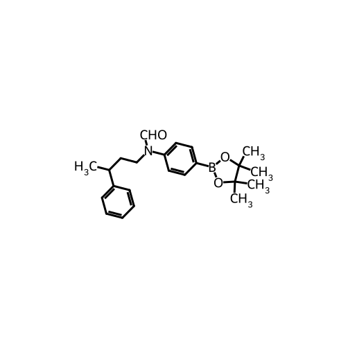 CC(CCN(C=O)c1ccc(B2OC(C)(C)C(C)(C)O2)cc1)c1ccccc1